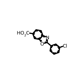 O=C(O)c1ccc2nc(-c3cccc(Cl)c3)oc2c1